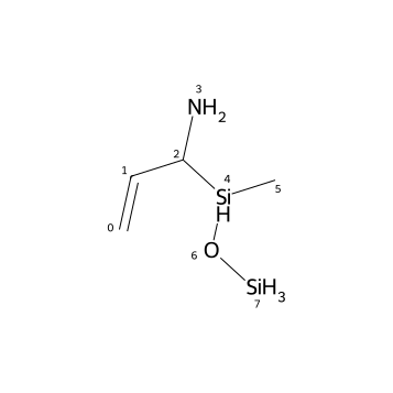 C=CC(N)[SiH](C)O[SiH3]